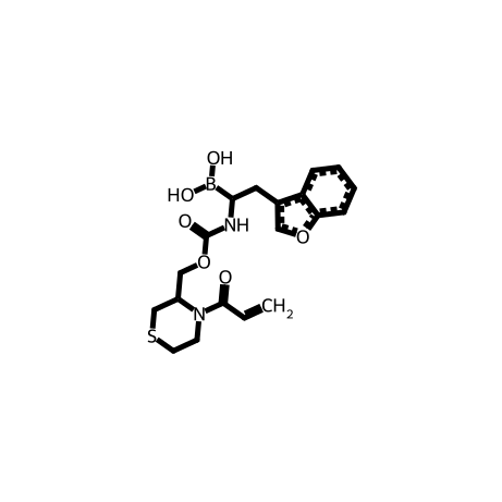 C=CC(=O)N1CCSCC1COC(=O)NC(Cc1coc2ccccc12)B(O)O